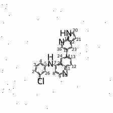 Clc1cccc(Nc2ccnc3ccc(-c4cnc5[nH]ccc5c4)cc23)c1